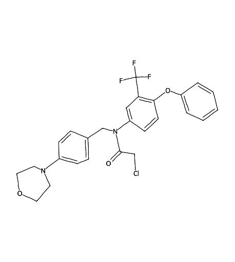 O=C(CCl)N(Cc1ccc(N2CCOCC2)cc1)c1ccc(Oc2ccccc2)c(C(F)(F)F)c1